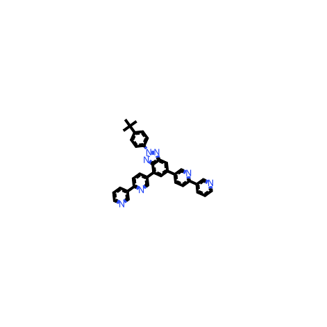 CC(C)(C)c1ccc(-n2nc3cc(-c4ccc(-c5cccnc5)nc4)cc(-c4ccc(-c5cccnc5)nc4)c3n2)cc1